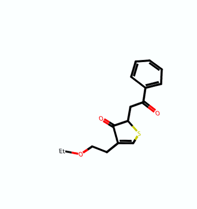 CCOCCC1=CSC(CC(=O)c2ccccc2)C1=O